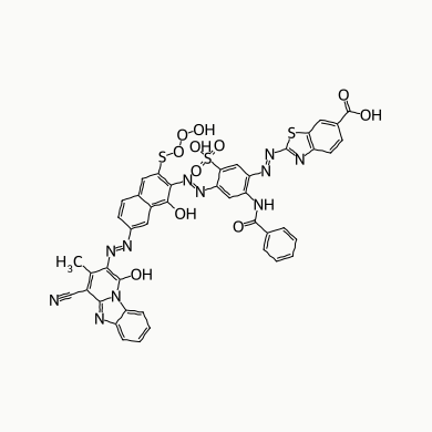 Cc1c(N=Nc2ccc3cc(SOOO)c(N=Nc4cc(NC(=O)c5ccccc5)c(N=Nc5nc6ccc(C(=O)O)cc6s5)cc4S(=O)(=O)O)c(O)c3c2)c(O)n2c(nc3ccccc32)c1C#N